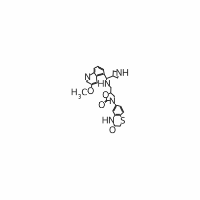 COc1cnc2cccc(C(NCC3CN(c4ccc5c(c4)NC(=O)CS5)C(=O)O3)C3CNC3)c2c1